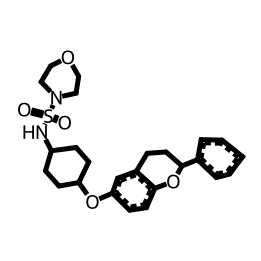 O=S(=O)(NC1CCC(Oc2ccc3c(c2)CCC(c2ccccc2)O3)CC1)N1CCOCC1